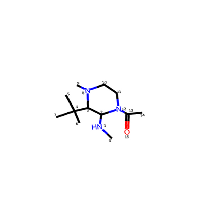 CNC1C(C(C)(C)C)N(C)CCN1C(C)=O